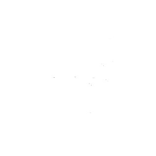 Cc1ccc(C(=O)N(C[C@H](F)CO[Si](c2ccccc2)(c2ccccc2)C(C)(C)C)[C@@H](c2nc3sccc3c(=O)n2Cc2ccccc2)C(C)C)cc1